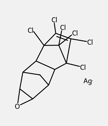 ClC1=C(Cl)C2(Cl)C3C4CC(C5OC45)C3C1(Cl)C2(Cl)Cl.[Ag]